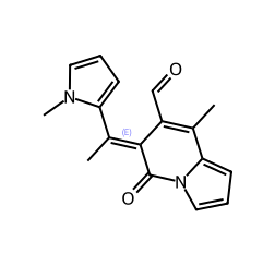 C/C(c1cccn1C)=c1/c(C=O)c(C)c2cccn2c1=O